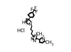 Cc1ccc(-c2nnc(CCCCN3C[C@@H]4C[C@]4(c4ccc(C(F)(F)F)cc4)C3)n2C)cn1.Cl